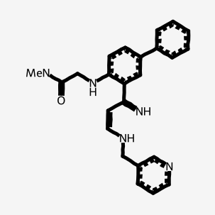 CNC(=O)CNc1ccc(-c2ccccc2)cc1C(=N)/C=C\NCc1cccnc1